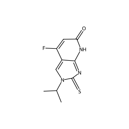 CC(C)n1cc2c(F)cc(=O)[nH]c2nc1=S